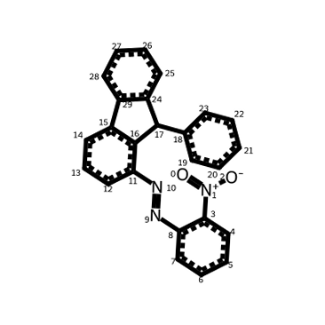 O=[N+]([O-])c1ccccc1N=Nc1cccc2c1C(c1ccccc1)c1ccccc1-2